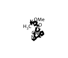 COc1cc(C(=O)N2CC[C@@H](NC(=O)c3ncccc3C3CC3)[C@@H](c3ccccc3)C2)cn2c(C)cnc12